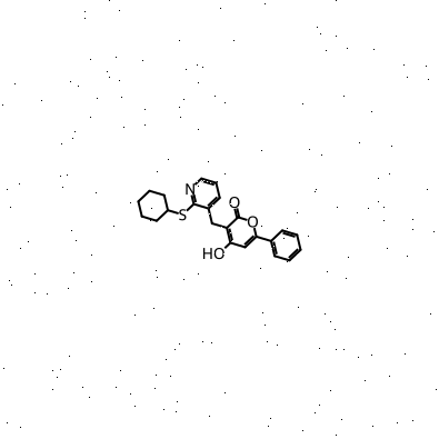 O=c1oc(-c2ccccc2)cc(O)c1Cc1cccnc1SC1CCCCC1